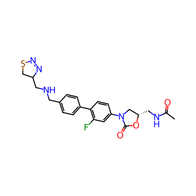 CC(=O)NC[C@H]1CN(c2ccc(-c3ccc(CNCC4CSN=N4)cc3)c(F)c2)C(=O)O1